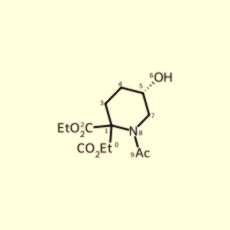 CCOC(=O)C1(C(=O)OCC)CC[C@H](O)CN1C(C)=O